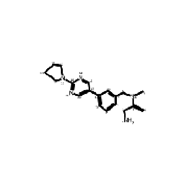 C=C(CN)N(C)Cc1cccc(-c2cnc(N3CCCC3)nc2)c1